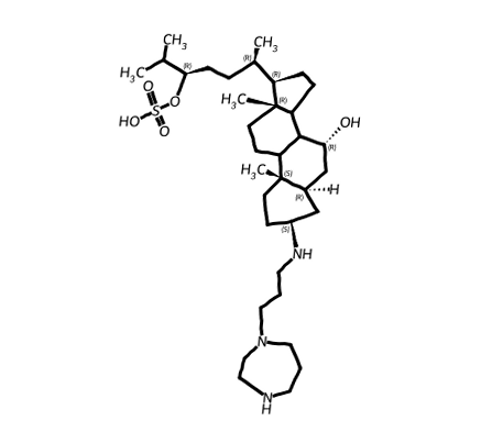 CC(C)[C@@H](CC[C@@H](C)[C@H]1CCC2C3C(CC[C@@]21C)[C@@]1(C)CC[C@H](NCCCN2CCCNCC2)C[C@@H]1C[C@H]3O)OS(=O)(=O)O